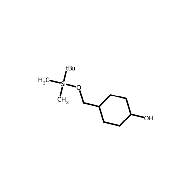 CC(C)(C)[Si](C)(C)OCC1CCC(O)CC1